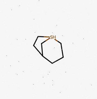 C1CC2CC[SH](C1)C2